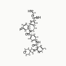 Cc1cnc(N2CC3(CCOCC3)C2)c(C(=O)Nc2ccc(C(=O)N3CCc4cc(C(=N)OC=N)sc4-c4ccc(F)cc43)cc2)c1